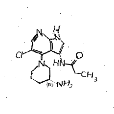 CCC(=O)Nc1c[nH]c2ncc(Cl)c(N3CCC[C@@H](N)C3)c12